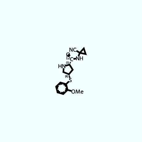 COc1ccccc1S[C@H]1CN[C@H]([12C](=O)NC2(C#N)CC2)C1